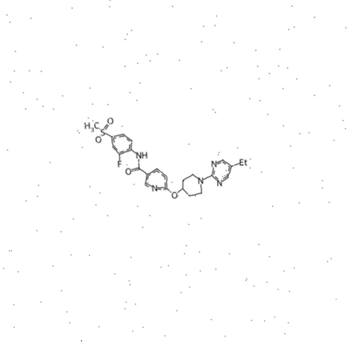 CCc1cnc(N2CCC(Oc3ccc(C(=O)Nc4ccc(S(C)(=O)=O)cc4F)cn3)CC2)nc1